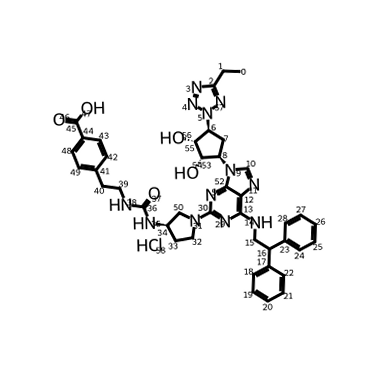 CCc1nnn([C@H]2C[C@@H](n3cnc4c(NCC(c5ccccc5)c5ccccc5)nc(N5CC[C@@H](NC(=O)NCCc6ccc(C(=O)O)cc6)C5)nc43)[C@H](O)[C@@H]2O)n1.Cl